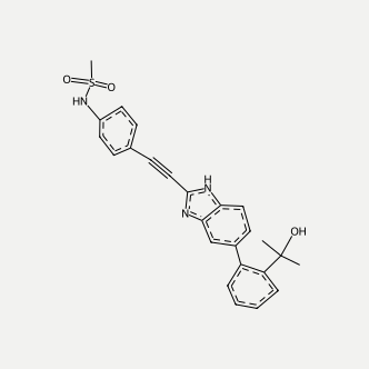 CC(C)(O)c1ccccc1-c1ccc2[nH]c(C#Cc3ccc(NS(C)(=O)=O)cc3)nc2c1